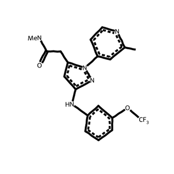 CNC(=O)Cc1cc(Nc2cccc(OC(F)(F)F)c2)nn1-c1ccnc(C)c1